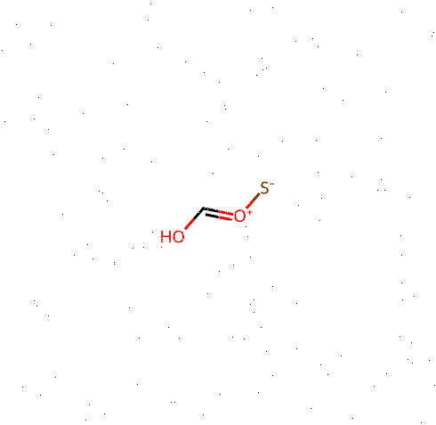 OC=[O+][S-]